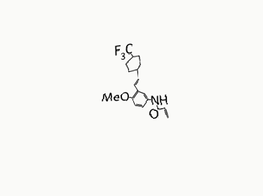 C=CC(=O)Nc1ccc(OC)c(C=CC2CCC(C(F)(F)F)CC2)c1